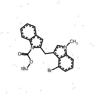 Cn1cc(Cc2cc3ccccc3n2C(=O)OC(C)(C)C)c2c(Br)cccc21